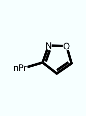 C[CH]Cc1ccon1